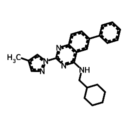 Cc1cnn(-c2nc(NCC3CCCCC3)c3cc(-c4ccccc4)ccc3n2)c1